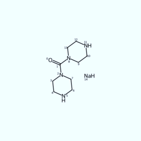 O=C(N1CCNCC1)N1CCNCC1.[NaH]